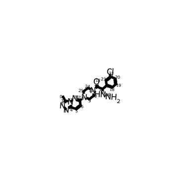 Cc1nnc2ccc(N3CCN(C(=O)C(NN)c4cccc(Cl)c4)CC3)nn12